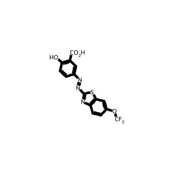 O=C(O)c1cc(N=Nc2nc3ccc(OC(F)(F)F)cc3s2)ccc1O